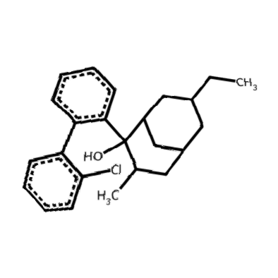 CCC1CC2CC(C)C(O)(c3ccccc3-c3ccccc3Cl)C(C1)C2